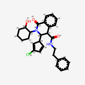 O=C(NCCc1ccccc1)C1c2ccccc2C(=O)N(C2CCCCC2O)C1C1C=CC(Cl)=C1